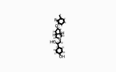 Cc1cccc(O[C@H]2C[C@@H]3CN(CC(O)c4ccc(O)cc4)C[C@@H]3C2)c1F